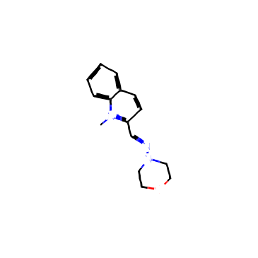 C[n+]1c(/C=N/N2CCOCC2)ccc2ccccc21